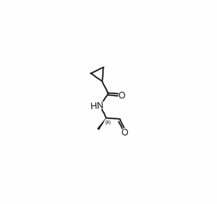 C[C@H](C=O)NC(=O)C1CC1